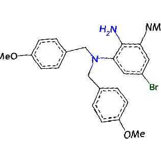 CNc1cc(Br)cc(N(Cc2ccc(OC)cc2)Cc2ccc(OC)cc2)c1N